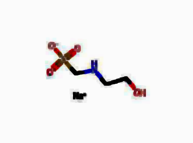 O=S(=O)([O-])CNCCO.[Na+]